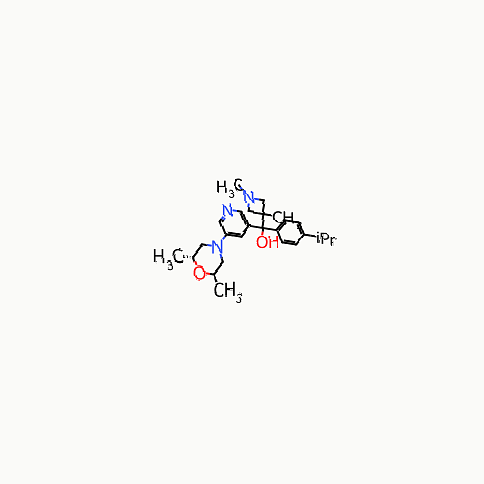 CC(C)c1ccc(C(O)(c2cncc(N3C[C@@H](C)O[C@H](C)C3)c2)C2(C)CN(C)C2)cc1